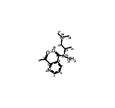 CC(=O)c1ncccc1C(=O)N(N)C(C)CN(C)C